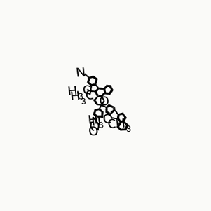 CC1(C)c2cc(C#N)ccc2-c2c1c1c(c3ccccc23)OC(c2ccc(N3CCOCC3)cc2)(c2ccc3c(c2)C(C)(C)c2c-3ccc3ccccc23)C=C1